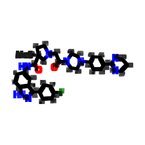 CS[C@@]1(C(=O)Nc2ccc3[nH]nc(-c4ccc(F)cc4)c3c2)CCN(CC(=O)N2CCN(c3ccc(-c4ncccn4)cc3)CC2)C1